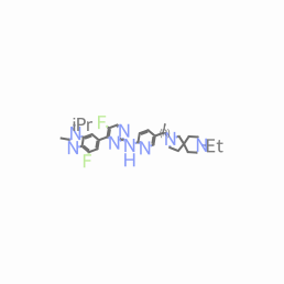 CCN1CCC2(CC1)CCN([C@H](C)c1ccc(Nc3ncc(F)c(-c4cc(F)c5nc(C)n(C(C)C)c5c4)n3)nc1)C2